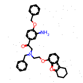 Nc1cc(C(=O)CN(CCOc2cccc3c4c(oc23)CCCC4)Cc2ccccc2)ccc1OCc1ccccc1